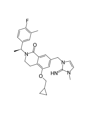 Cc1cc([C@H](C)N2CCc3c(OCC4CC4)cc(Cn4ccn(C)c4=N)cc3C2=O)ccc1F